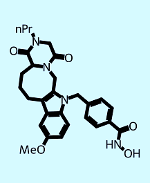 CCCN1CC(=O)N2Cc3c(c4cc(OC)ccc4n3Cc3ccc(C(=O)NO)cc3)CCCC2C1=O